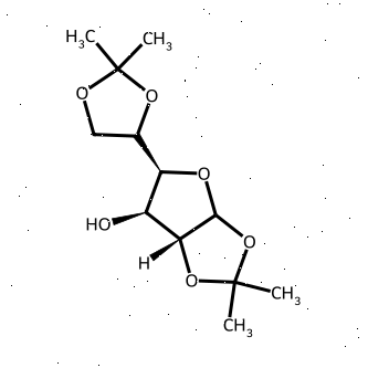 CC1(C)OCC([C@H]2OC3OC(C)(C)O[C@@H]3[C@H]2O)O1